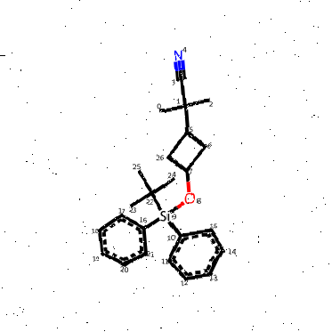 CC(C)(C#N)C1CC(O[Si](c2ccccc2)(c2ccccc2)C(C)(C)C)C1